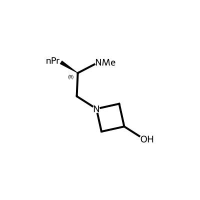 CCC[C@H](CN1CC(O)C1)NC